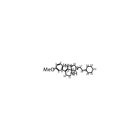 COc1ccc2[nH]c3c(c2c1)CCNC31CCN(CCC2CCCCC2)C1